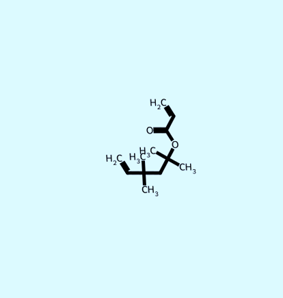 C=CC(=O)OC(C)(C)CC(C)(C)C=C